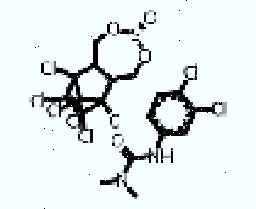 CN(C)C(=O)Nc1ccc(Cl)c(Cl)c1.O=S1OCC2C(CO1)C1(Cl)C(Cl)=C(Cl)C2(Cl)C1(Cl)Cl